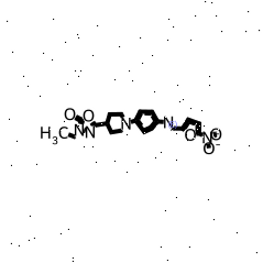 CCn1nc(C2CCN(c3ccc(/N=C/c4ccc([N+](=O)[O-])o4)cc3)CC2)oc1=O